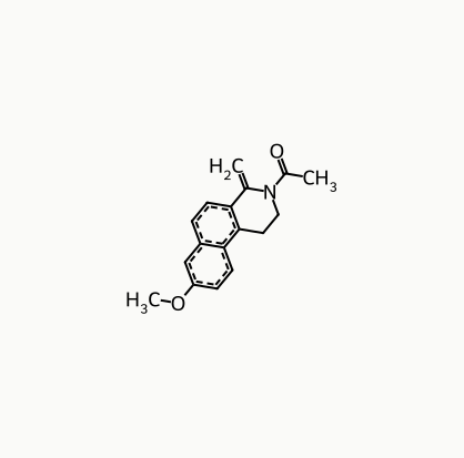 C=C1c2ccc3cc(OC)ccc3c2CCN1C(C)=O